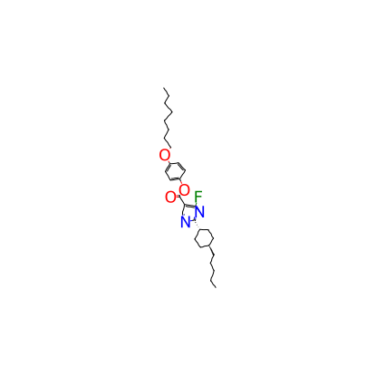 CCCCCCCCOc1ccc(OC(=O)c2cnc([C@H]3CC[C@H](CCCCC)CC3)nc2F)cc1